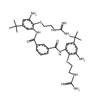 CC(C)(C)c1cc(N)c(SCCNC(=N)N)c(NC(=O)c2cccc(C(=O)Nc3cc(C(C)(C)C)cc(N)c3SCCNC(=N)N)c2)c1